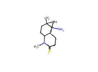 CN1C(=S)CCC2C1CCC1(C)BC21N